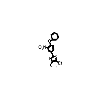 [CH2]Cc1sc(-c2ccc(Oc3ccccc3)c([N+](=O)[O-])c2)nc1C